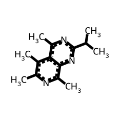 Cc1nc(C)c2nc(C(C)C)nc(C)c2c1C